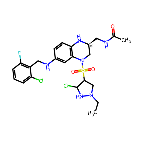 CCN1CC(S(=O)(=O)N2C[C@H](CNC(C)=O)Nc3ccc(NCc4c(F)cccc4Cl)cc32)C(Cl)N1